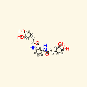 O=C(/C=C/c1ccc(O)c(O)c1)Nc1cccc(NC(=O)/C=C/c2ccc(O)c(O)c2)c1